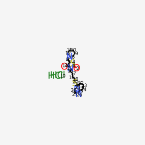 Cl.Cl.O=C1SC(=CN2CCCCC2)C(=O)N1CCCCSc1cccc2nccn12